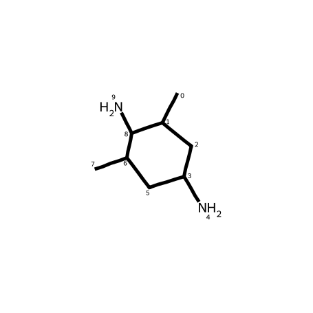 CC1CC(N)CC(C)C1N